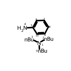 CCCCN(CCCC)CCCC.Nc1ccccc1